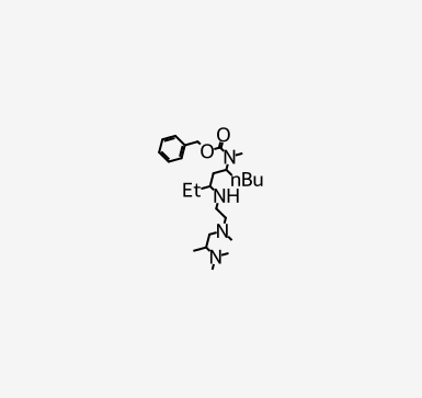 CCCCC(CC(CC)NCCN(C)CC(C)N(C)C)N(C)C(=O)OCc1ccccc1